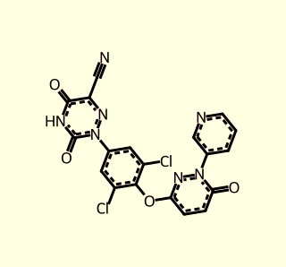 N#Cc1nn(-c2cc(Cl)c(Oc3ccc(=O)n(-c4cccnc4)n3)c(Cl)c2)c(=O)[nH]c1=O